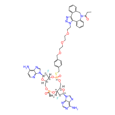 B[P@@]1(=O)OC[C@H]2O[C@@H](n3cnc4c(N)ccnc43)[C@H](F)[C@@H]2O[P@](=O)(SCc2ccc(COCCOCCOCCn3nnc4c3-c3ccccc3N(C(=O)CC)Cc3ccccc3-4)cc2)OC[C@H]2O[C@@H](n3cnc4c(N)ncnc43)[C@H](F)[C@@H]2O1